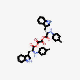 Cc1ccc(N[C@@H](Cc2c[nH]c3ccccc23)C(=O)OC(=O)C(=O)OC(=O)[C@H](Cc2c[nH]c3ccccc23)Nc2ccc(C)cc2)cc1